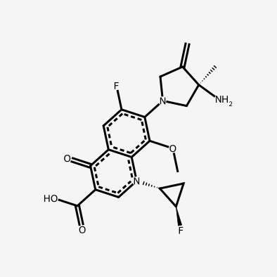 C=C1CN(c2c(F)cc3c(=O)c(C(=O)O)cn([C@@H]4C[C@H]4F)c3c2OC)C[C@]1(C)N